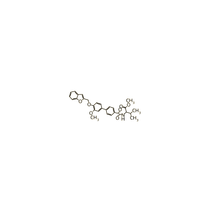 COC(=O)C(NS(=O)(=O)c1ccc(-c2ccc(OCc3cc4ccccc4o3)c(OC)c2)cc1)C(C)C